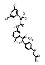 CCC(=O)CNc1ccc(NC(=O)c2cc(NC(=O)C3C(c4cc(Cl)cc(Cl)c4)C3(Cl)Cl)ccc2Cl)c(C)c1